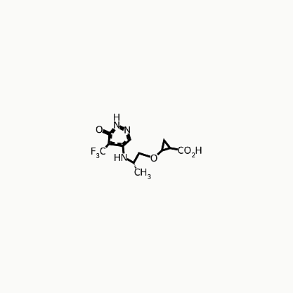 C[C@@H](COC1CC1C(=O)O)Nc1cn[nH]c(=O)c1C(F)(F)F